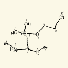 CC(C)NN(NC(C)C)[PH](O)(O)OCCC#N